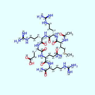 CSCC[C@H](NC(C)=O)C(=O)N[C@@H](CCCNC(=N)N)C(=O)N[C@@H](CCCNC(=N)N)C(=O)N[C@@H](CCC(=O)O)C(=O)N[C@@H](CCC(N)=O)C(=O)N[C@@H](CCCNC(=N)N)C(N)=O